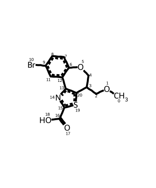 COCC1COc2ccc(Br)cc2-c2nc(C(=O)O)sc21